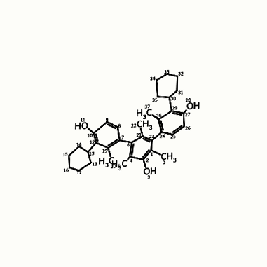 Cc1c(O)c(C)c(-c2ccc(O)c(C3CCCCC3)c2C)c(C)c1-c1ccc(O)c(C2CCCCC2)c1C